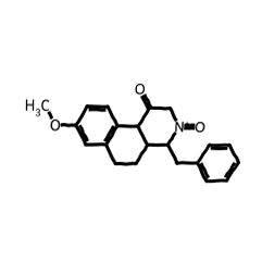 COc1ccc2c(c1)CCC1C2C(=O)C[N+](=O)C1Cc1ccccc1